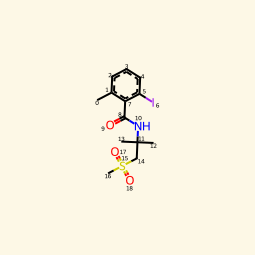 Cc1cccc(I)c1C(=O)NC(C)(C)CS(C)(=O)=O